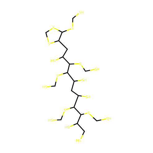 SCSC1SCSC1CC(S)C(SCS)C(SCS)C(S)CC(S)C(SCS)C(SCS)C(S)CS